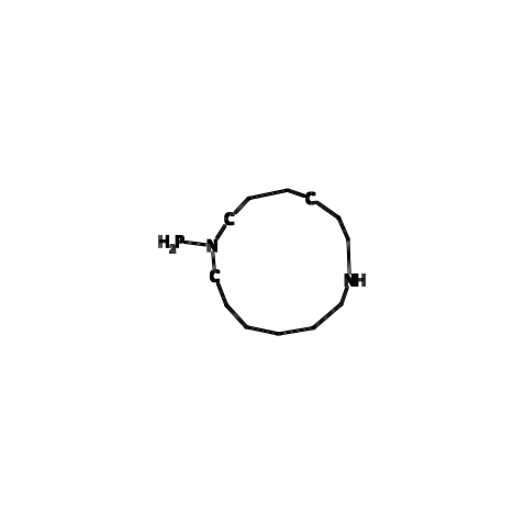 PN1CCCCCCNCCCCCC1